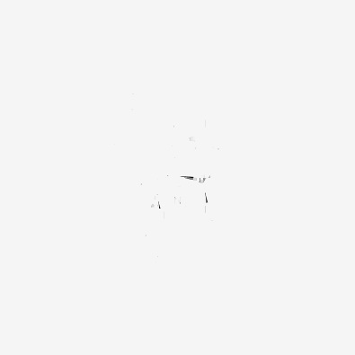 C[C@@]1(O)[C@H]2Cc3ccc(O)c4c3[C@]13C[C@H](CC(=O)[C@@H]3O4)N2CC1CC1